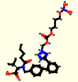 CCCCC(=O)N(Cc1ccc(-c2ccccc2-c2nnn(COC(=O)OCCCCON(O)O)n2)cc1)[C@H](C(=O)O)C(C)C